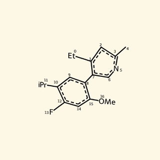 CCc1cc(C)ncc1-c1cc(C(C)C)c(F)cc1OC